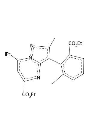 CCOC(=O)c1cc(C(C)C)n2nc(C)c(-c3c(C)cccc3C(=O)OCC)c2n1